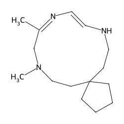 C/C1=N/C=C/NCCC2(CCCC2)CCN(C)C1